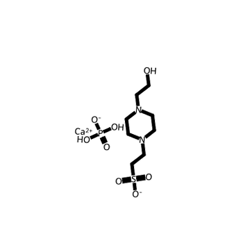 O=P([O-])(O)O.O=S(=O)([O-])CCN1CCN(CCO)CC1.[Ca+2]